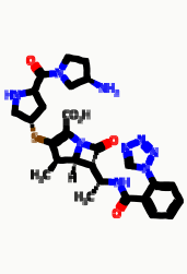 C[C@@H](NC(=O)c1ccccc1-n1cnnn1)[C@H]1C(=O)N2C(C(=O)O)=C(S[C@@H]3CNC(C(=O)N4CC[C@@H](N)C4)C3)[C@H](C)[C@H]12